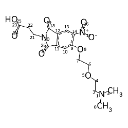 CN(C)CCOCCOc1cc2c(cc1[N+](=O)[O-])C(=O)N(CCC(=O)O)C2=O